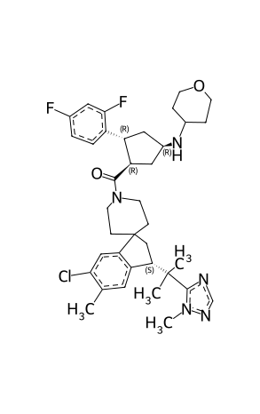 Cc1cc2c(cc1Cl)C1(CCN(C(=O)[C@@H]3C[C@H](NC4CCOCC4)C[C@H]3c3ccc(F)cc3F)CC1)C[C@@H]2C(C)(C)c1ncnn1C